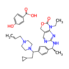 C=CCN1CCN(C(CC2CC2)c2ccc([C@H](C)Nc3ncc4c(n3)N(CC)C(=O)OC4)cc2)CC1.O=C(O)c1ccc(O)cc1